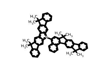 CC1(C)c2ccccc2-c2cc3c(cc21)-c1c(cc(-n2c4cc5c(cc4c4cc6c(cc42)-c2ccccc2C6(C)C)C(C)(C)c2ccccc2-5)c2ccccc12)C3(C)C